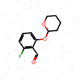 O=Cc1c(F)cccc1OC1CCCCO1